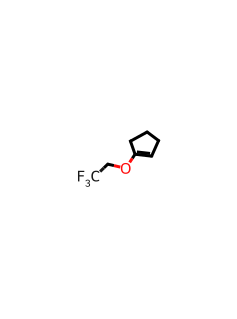 FC(F)(F)COC1=CCCC1